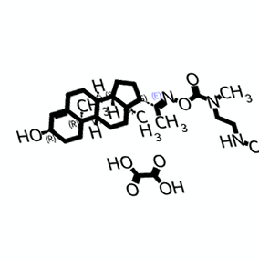 CNCCN(C)C(=O)O/N=C(\C)[C@H]1CC[C@H]2[C@@H]3CCC4=C[C@H](O)CC[C@]4(C)[C@H]3CC[C@]12C.O=C(O)C(=O)O